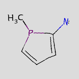 Cp1cccc1[N]